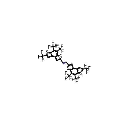 FC(F)(F)c1cc2c(s1)c(C(F)(F)F)c(C(F)(F)F)c1sc(/C=C/c3cc4c(s3)c(C(F)(F)F)c(C(F)(F)F)c3sc(C(F)(F)F)cc34)cc12